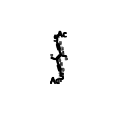 CC(=O)SC#C/C(C)=C(\C)C#CSC(C)=O